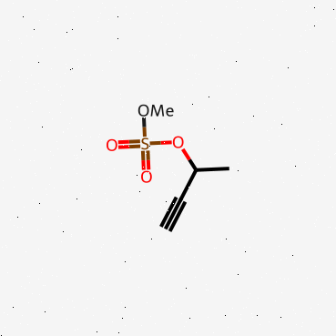 C#CC(C)OS(=O)(=O)OC